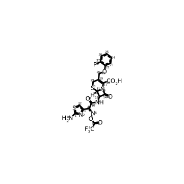 Nc1nc(C(=NOC(=O)C(F)(F)F)C(=O)NC2C(=O)N3C(C(=O)O)=C(COc4ccccc4F)CS[C@@H]23)cs1